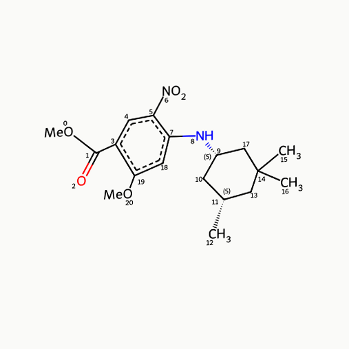 COC(=O)c1cc([N+](=O)[O-])c(N[C@H]2C[C@@H](C)CC(C)(C)C2)cc1OC